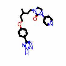 CC(CCOc1ccc(-c2nn[nH]n2)cc1)CCN1CCN(c2ccncc2)C1=O